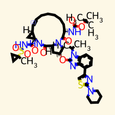 CC(C)n1c(O[C@@H]2C[C@H]3C(=O)N[C@]4(C(=O)NS(=O)(=O)C5(C)CC5)C[C@H]4/C=C\CCCCC[C@H](NC(=O)OC(C)(C)C)C(=O)N3C2)nc2c(-c3csc(N4CCCCC4)n3)cccc21